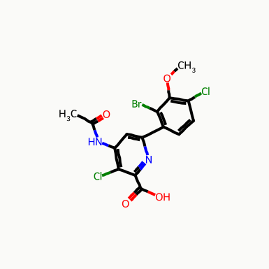 COc1c(Cl)ccc(-c2cc(NC(C)=O)c(Cl)c(C(=O)O)n2)c1Br